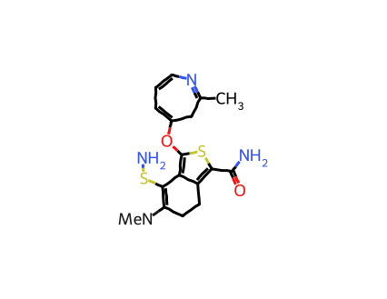 CNC1=C(SN)c2c(OC3=CC=CN=C(C)C3)sc(C(N)=O)c2CC1